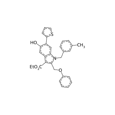 CCOC(=O)c1c(COc2ccccc2)n(Cc2cccc(C)c2)c2cc(-c3cccs3)c(O)cc12